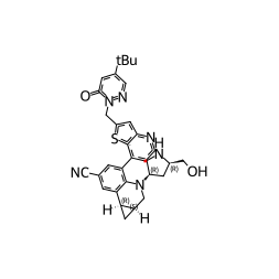 CC(C)(C)c1cnn(Cc2cc3nccc(-c4cc(C#N)cc5c4N([C@H]4CN[C@@H](CO)C4)C[C@H]4C[C@@H]54)c3s2)c(=O)c1